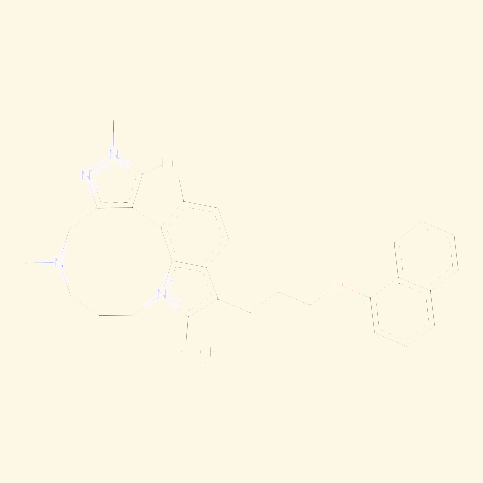 CCc1c2c(nn1C)CN(C)CCCn1c(C(=O)O)c(CCCOc3cccc4ccccc34)c3ccc(C)c-2c31